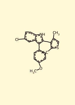 COc1ccc(-c2c(-c3c(C)csc3C)[nH]c3ccc(Cl)cc23)cc1